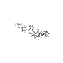 Cc1cc2c(cc1-c1ccc(CC(C)C)cc1)CC(C)(C)[C@H]2NC(=O)O[C@H]1CN2CCC1CC2